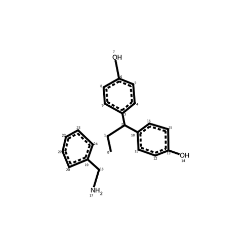 CCC(c1ccc(O)cc1)c1ccc(O)cc1.NCc1ccccc1